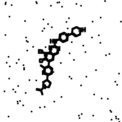 C=C(C)N1CCC(c2ccc(-c3cc4cnc(Nc5ccc(C6=CCNCC6)cc5)nc4n(CC)c3=O)c(C)n2)C1